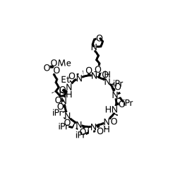 CC[C@@H]1NC(=O)[C@@H]2[C@@H]([C@H](C)CCCCOC(=O)OC)ON2C(=O)[C@H](C(C)C)N(C)C(=O)[C@H](CC(C)C)N(C)C(=O)[C@H](CC(C)C)N(C)C(=O)[C@@H](C)NC(=O)[C@H](C)NC(=O)[C@H](CC(C)C)N(C)C(=O)[C@H](C(C)C)NC(=O)[C@H]([C@@H](C)OCCCCN2CCOCC2)N(C)C(=O)[C@@H](C)N(C)C1=O